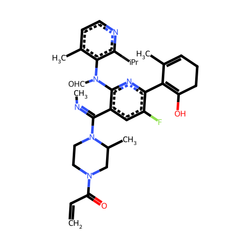 C=CC(=O)N1CCN(/C(=N/C)c2cc(F)c(C3=C(O)CCC=C3C)nc2N(C=O)c2c(C)ccnc2C(C)C)C(C)C1